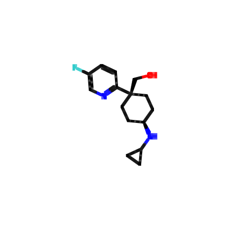 OC[C@]1(c2ccc(F)cn2)CC[C@H](NC2CC2)CC1